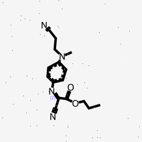 CCCOC(=O)/C(C#N)=N\c1ccc(N(C)CCC#N)cc1